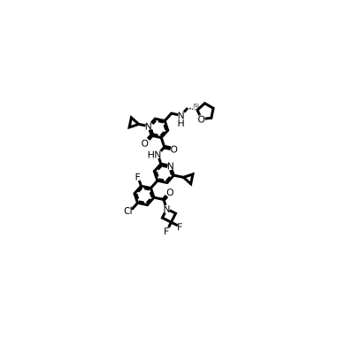 O=C(Nc1cc(-c2c(F)cc(Cl)cc2C(=O)N2CC(F)(F)C2)cc(C2CC2)n1)c1cc(CNC[C@@H]2CCCO2)cn(C2CC2)c1=O